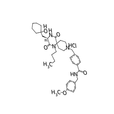 CCCCN1C(=O)[C@@H](CC2(O)CCCCC2)NC(=O)C12CCN(Cc1ccc(C(=O)NCc3ccc(OC)cc3)cc1)CC2.Cl